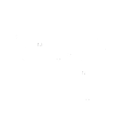 O=C1NC(=S)SC1=Cc1ccc2c(c1)N(C(=O)C1CC1)CCO2